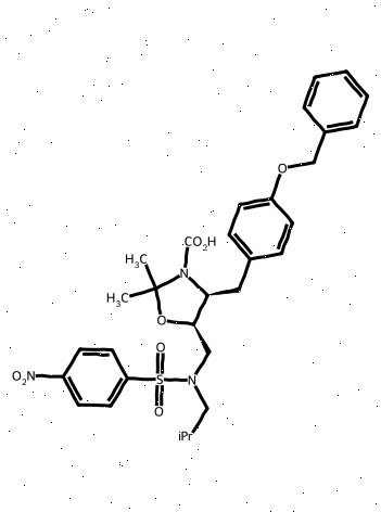 CC(C)CN(C[C@H]1OC(C)(C)N(C(=O)O)[C@H]1Cc1ccc(OCc2ccccc2)cc1)S(=O)(=O)c1ccc([N+](=O)[O-])cc1